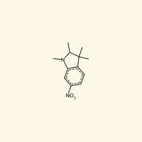 CC1N(C)c2cc([N+](=O)[O-])ccc2C1(C)C